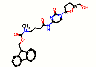 CN(CCCC(=O)Nc1ccn([C@H]2CC[C@@H](CO)O2)c(=O)n1)C(=O)OCC1c2ccccc2-c2ccccc21